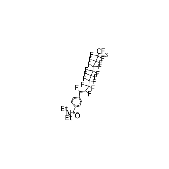 CCN(CC)C(=O)c1ccc(C(F)=C(F)C(F)(F)C(F)(F)C(F)(F)C(F)(F)C(F)(F)C(F)(F)C(F)(F)C(F)(F)F)cc1